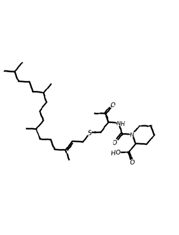 CC(=O)C(CSC/C=C(\C)CCCC(C)CCCC(C)CCCC(C)C)NC(=O)N1CCCCC1C(=O)O